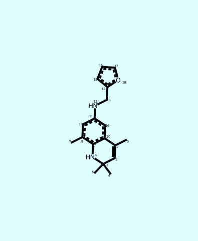 CC1=CC(C)(C)Nc2c(C)cc(NCc3ccco3)cc21